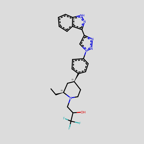 CC[C@H]1C[C@@H](c2ccc(-n3cc(-c4n[nH]c5ccccc45)nn3)cc2)CCN1CC(O)C(F)(F)F